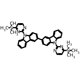 C[Si](C)(C)c1ccnc(-n2c3ccccc3c3cc(-c4ccc5c(c4)c4ccccc4n5-c4nccc([Si](C)(C)C)n4)ccc32)n1